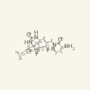 Nc1ccnn(Cc2cc3c(cc2F)C(C#CC2CC2)(C(F)(F)F)NC(=O)N3)c1=O